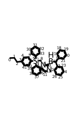 CCCc1ccc([Si](Cn2ccnc2BC(c2ccccc2)c2ccccc2)(c2ccccc2)c2ccccc2)cc1